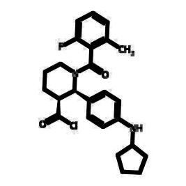 Cc1cccc(F)c1C(=O)N1CCC[C@H](C(=O)Cl)[C@@H]1c1ccc(NC2CCCC2)cc1